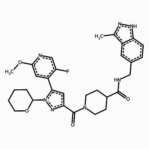 COc1cc(-c2cc(C(=O)N3CCC(C(=O)NCc4ccc5[nH]nc(C)c5c4)CC3)nn2C2CCCCO2)c(F)cn1